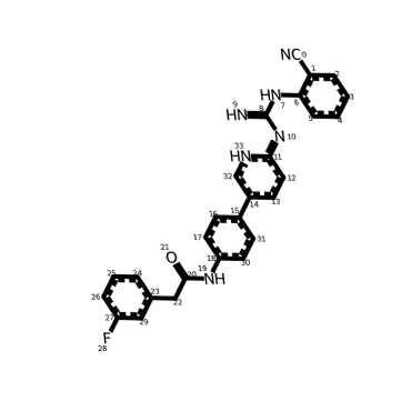 N#Cc1ccccc1NC(=N)/N=c1/ccc(-c2ccc(NC(=O)Cc3cccc(F)c3)cc2)c[nH]1